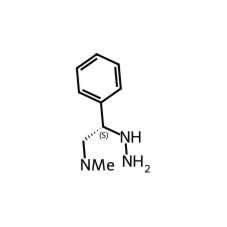 CNC[C@@H](NN)c1ccccc1